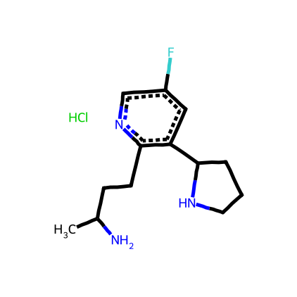 CC(N)CCc1ncc(F)cc1C1CCCN1.Cl